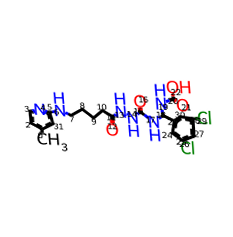 Cc1ccnc(NCCCCC(=O)NNC(=O)NC(NC(=O)O)c2cc(Cl)cc(Cl)c2)c1